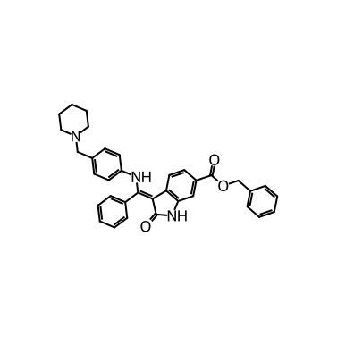 O=C1Nc2cc(C(=O)OCc3ccccc3)ccc2C1=C(Nc1ccc(CN2CCCCC2)cc1)c1ccccc1